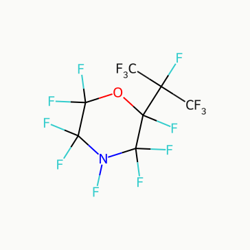 FN1C(F)(F)C(F)(F)OC(F)(C(F)(C(F)(F)F)C(F)(F)F)C1(F)F